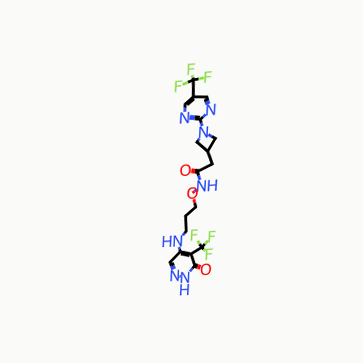 O=C(CC1CN(c2ncc(C(F)(F)F)cn2)C1)NOCCCNc1cn[nH]c(=O)c1C(F)(F)F